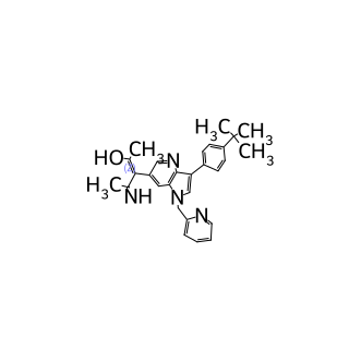 CC(=N)/C(=C(/C)O)c1cnc2c(-c3ccc(C(C)(C)C)cc3)cn(Cc3ccccn3)c2c1